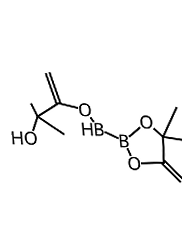 C=C(OBB1OC(=C)C(C)(C)O1)C(C)(C)O